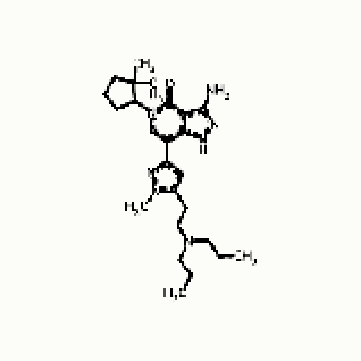 CCCN(CCC)CCc1cc(-c2cn(C3CCCC3(C)C)c(=O)c3c(N)n[nH]c23)nn1C